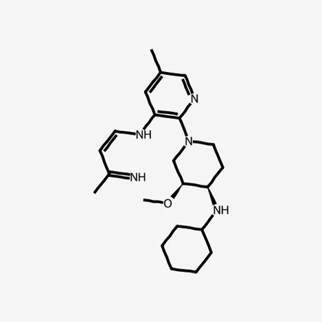 CO[C@H]1CN(c2ncc(C)cc2N/C=C\C(C)=N)CC[C@H]1NC1CCCCC1